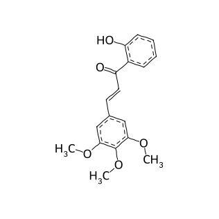 COc1cc(C=CC(=O)c2ccccc2O)cc(OC)c1OC